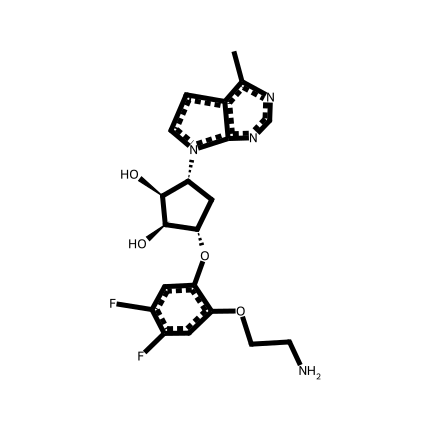 Cc1ncnc2c1ccn2[C@@H]1C[C@H](Oc2cc(F)c(F)cc2OCCN)[C@@H](O)[C@H]1O